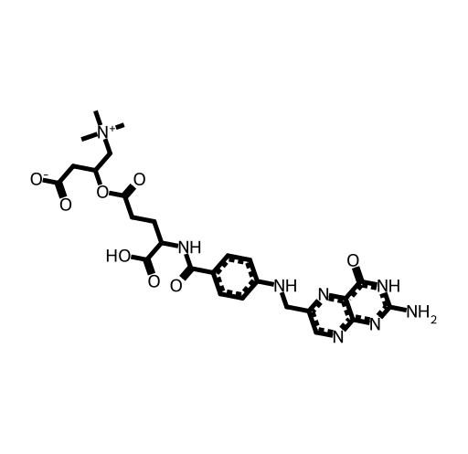 C[N+](C)(C)CC(CC(=O)[O-])OC(=O)CCC(NC(=O)c1ccc(NCc2cnc3nc(N)[nH]c(=O)c3n2)cc1)C(=O)O